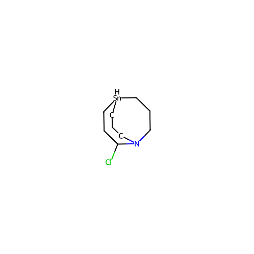 ClC1C[CH2][SnH]2[CH2]CCN1CC[CH2]2